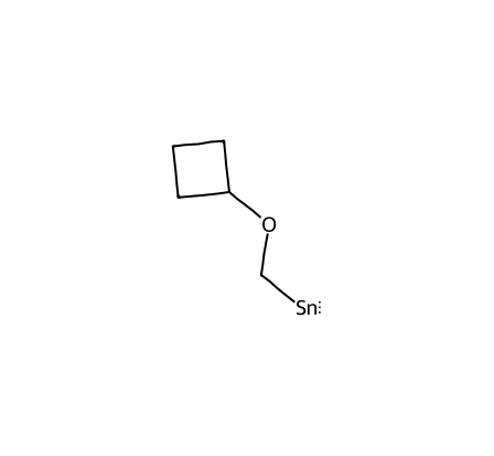 [Sn][CH2]OC1CCC1